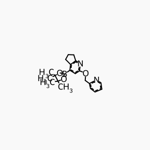 CC1(C)OB(c2cc(OCc3ccccn3)nc3c2CCC3)OC1(C)C